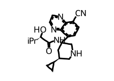 CC(C)[C@H](O)C(=O)N[C@]1(c2ccc(C#N)c3nccnc23)CNC[C@@H](C2CC2)C1